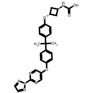 CC(C)(c1ccc(Oc2cnc(-n3nccn3)nc2)cc1)c1ccc(O[C@H]2C[C@H](NC(=O)O)C2)cc1